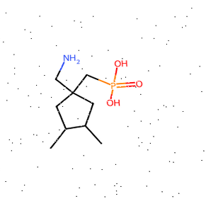 CC1CC(CN)(CP(=O)(O)O)CC1C